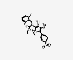 [2H]C1=C(N(Cc2c(F)cccc2F)C(=O)OCC)[SH](CC)C(c2ccc([N+](=O)[O-])cc2)=C1CBr